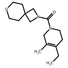 CCC1=C(C)CN(C(=O)N2CC3(CCOCC3)C2)CC1